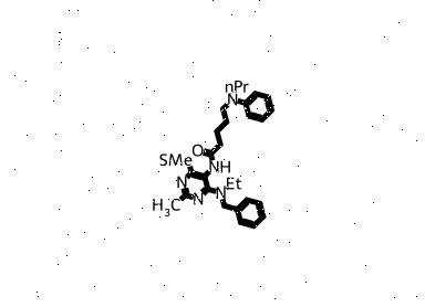 CCCN(CCCCC(=O)Nc1c(SC)nc(C)nc1N(CC)Cc1ccccc1)c1ccccc1